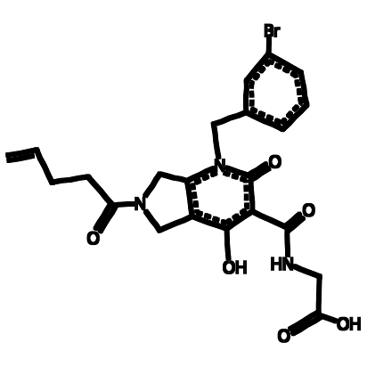 C=CCCC(=O)N1Cc2c(O)c(C(=O)NCC(=O)O)c(=O)n(Cc3cccc(Br)c3)c2C1